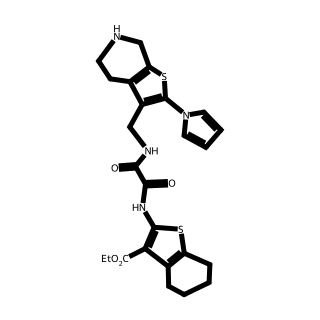 CCOC(=O)c1c(NC(=O)C(=O)NCc2c(-n3cccc3)sc3c2CCNC3)sc2c1CCCC2